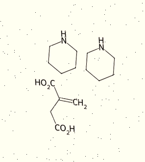 C1CCNCC1.C1CCNCC1.C=C(CC(=O)O)C(=O)O